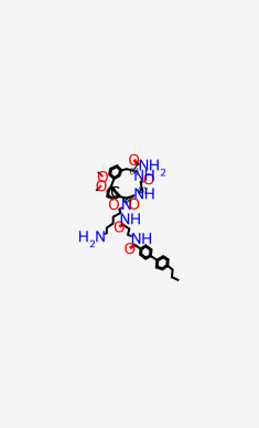 CCCc1ccc(-c2ccc(C(=O)NCCC(=O)NC(CCCCN)C(=O)N(C)[C@@H]3C(=O)N[C@@H](C)C(=O)N[C@H](C(N)=O)Cc4ccc(OC)c(c4)-c4cc3ccc4OC)cc2)cc1